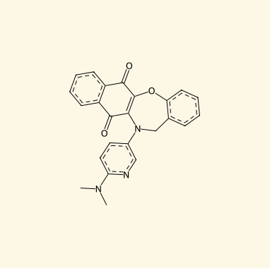 CN(C)c1ccc(N2Cc3ccccc3OC3=C2C(=O)c2ccccc2C3=O)cn1